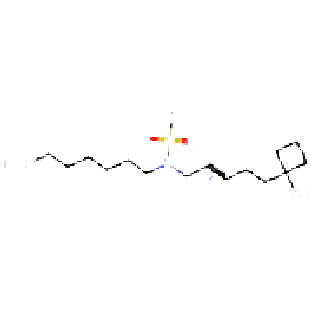 CCCC1(CC/C=C/CN(CCCCCCC(=O)O)S(C)(=O)=O)CCC1